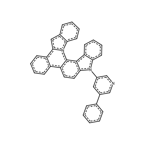 c1ccc(-c2cncc(-n3c4ccccc4c4c3ccc3c5ccccc5c5cc6ccccc6n5c34)c2)cc1